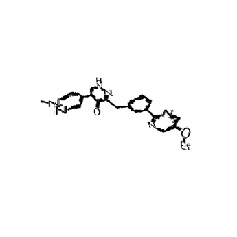 CCOc1cnc(-c2cccc(Cc3n[nH]cc(-c4cnn(C)c4)c3=O)c2)nc1